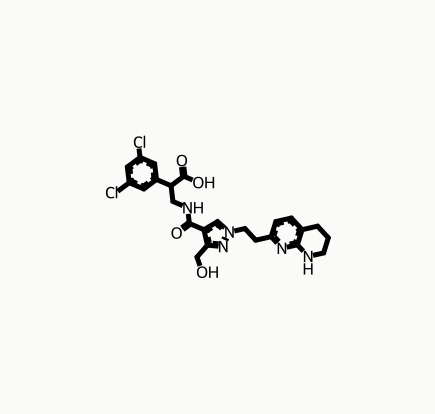 O=C(NCC(C(=O)O)c1cc(Cl)cc(Cl)c1)c1cn(CCc2ccc3c(n2)NCCC3)nc1CO